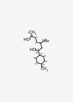 CCC(C)C(CCC(C)O)C[C@H](O)C1CCC(C)CC1